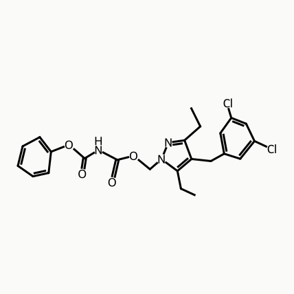 CCc1nn(COC(=O)NC(=O)Oc2ccccc2)c(CC)c1Cc1cc(Cl)cc(Cl)c1